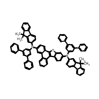 CC1(C)c2ccccc2-c2ccc(N(c3cc(-c4ccccc4)cc(-c4ccccc4)c3)c3ccc4c(c3)oc3c5ccc(N(c6cc(-c7ccccc7)cc(-c7ccccc7)c6)c6ccc7c(c6)C(C)(C)c6ccccc6-7)cc5c5ccccc5c43)cc21